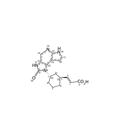 O=C(O)C=C[C@H]1CCC[C@H](n2c(=O)[nH]c3cnc4[nH]ccc4c32)C1